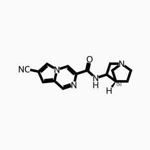 N#Cc1cc2cnc(C(=O)NC3CN4CC[C@H]3C4)cn2c1